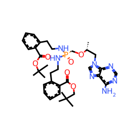 C[C@H](Cn1cnc2c(N)ncnc21)OC[P@](=O)(NCCc1ccccc1C(=O)OCC(C)(C)C)NCCc1ccccc1C(=O)OC(C)(C)C